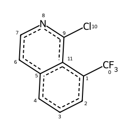 FC(F)(F)c1cccc2ccnc(Cl)c12